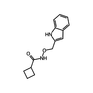 O=C(NOCc1cc2ccccc2[nH]1)C1CCC1